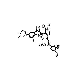 COc1ccc([C@H](O)CNc2cc[nH]c(=O)c2-c2nc3c(C)cc(N4CCOC(C)C4)cc3[nH]2)cc1Br